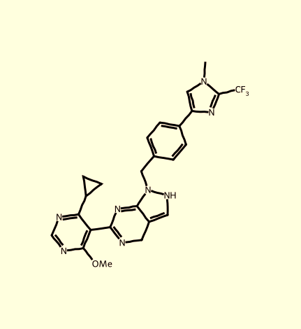 COc1ncnc(C2CC2)c1C1=NCC2=CNN(Cc3ccc(-c4cn(C)c(C(F)(F)F)n4)cc3)C2=N1